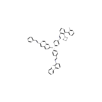 Cc1ccccc1-c1cccc(/C=C/c2ccc(N(c3ccc(/C=C/c4cccc5c4oc4ccccc45)cc3)c3ccc4cc(/C=C/c5ccccc5)ccc4c3)cc2)c1C1CCC1